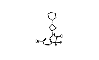 O=C1N([C@H]2C[C@@H](N3CCCCC3)C2)c2cc(Br)ccc2C1(F)F